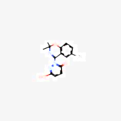 CC1(C)N=C(n2nc(O)ccc2=O)c2cc(C#N)ccc2O1